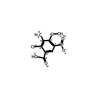 COc1c([N+](=O)[O-])cc(C(=O)O)c(Cl)c1C